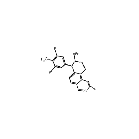 CCCC1CCc2c(ccc3ccc(F)cc23)C1c1cc(F)c(C(F)(F)F)c(F)c1